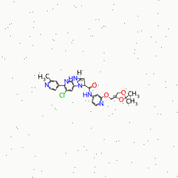 Cc1cc(-c2nc3c(cc2Cl)N2C[C@H](CC2C(=O)Nc2ccnc(OC[C@H]4COC(C)(C)O4)c2)N3)ccn1